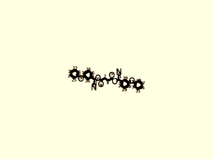 N#C[C@H](OC(=O)CCC(=O)O[C@@H](C#N)c1cccc(Oc2ccccc2)c1)c1cccc(Oc2ccccc2)c1